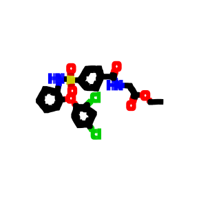 CCOC(=O)CNC(=O)c1ccc(S(=O)(=O)Nc2ccccc2Oc2ccc(Cl)cc2Cl)cc1